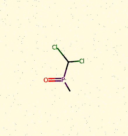 C[P](=O)C(Cl)Cl